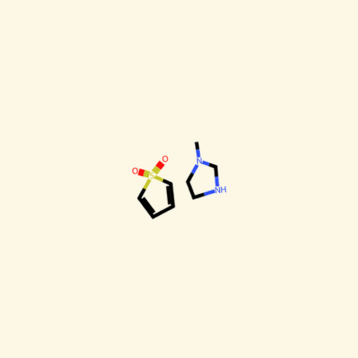 CN1CCNC1.O=S1(=O)C=CC=C1